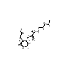 CCCCCCOC(=O)Oc1ccccc1CCC